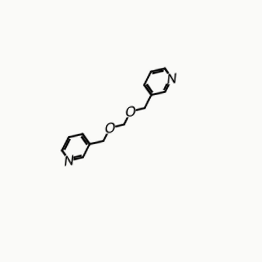 c1cncc(COCOCc2cccnc2)c1